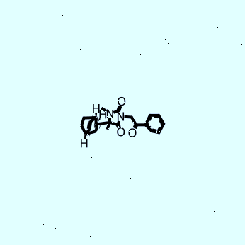 CN1C(=O)N(CC(=O)c2ccccc2)C(=O)C1(C)[C@H]1CC[C@H]2C=C[C@@H]1CC2